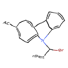 CCCCCC(Br)n1c2ccccc2c2cc(C(C)=O)ccc21